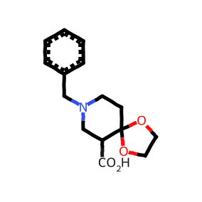 O=C(O)C1CN(Cc2ccccc2)CCC12OCCO2